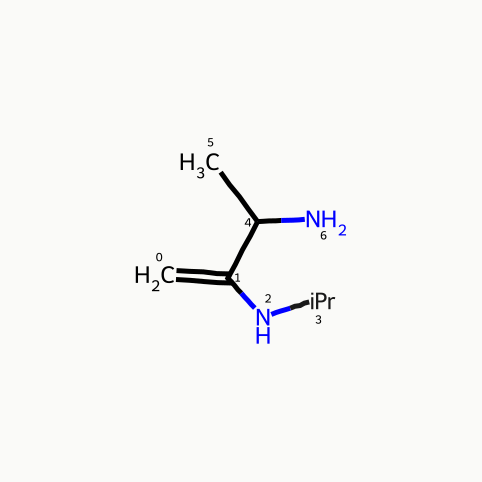 C=C(NC(C)C)C(C)N